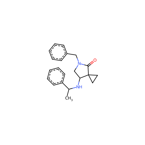 CC(NC1CN(Cc2ccccc2)C(=O)C12CC2)c1ccccc1